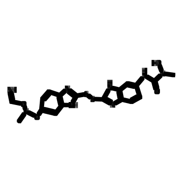 CN(OC=N)Oc1ccc2nc(SSc3nc4ccc(NC(=O)N(C)O)cc4[nH]3)[nH]c2c1